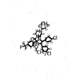 CCOc1cc(C(F)(F)F)ccc1C1(C(=O)N2CCN(C(C=O)OC)CC2)NC(c2ccc(Cl)cc2)C(c2ccc(Cl)cc2)N1